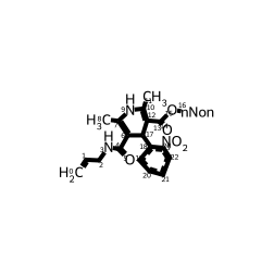 C=CCNC(=O)C1=C(C)NC(C)=C(C(=O)OCCCCCCCCC)C1c1ccccc1[N+](=O)[O-]